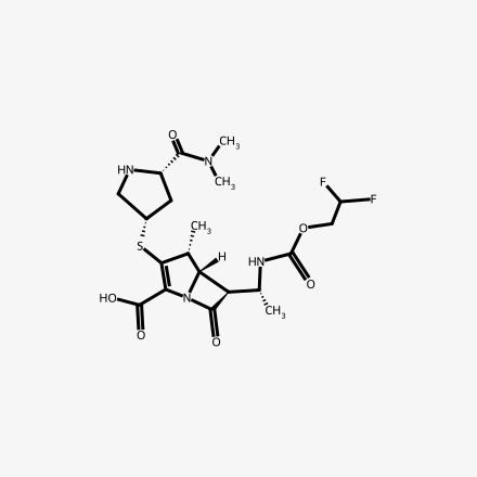 C[C@@H](NC(=O)OCC(F)F)[C@H]1C(=O)N2C(C(=O)O)=C(S[C@@H]3CN[C@H](C(=O)N(C)C)C3)[C@H](C)[C@H]12